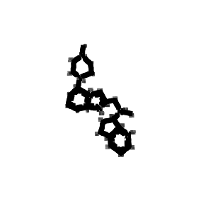 CN1CCN(c2cccc3nc(CN(C)C4CCc5cccnc54)cn23)CC1